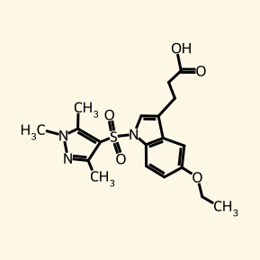 CCOc1ccc2c(c1)c(CCC(=O)O)cn2S(=O)(=O)c1c(C)nn(C)c1C